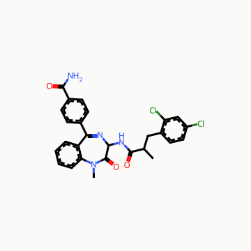 CC(Cc1ccc(Cl)cc1Cl)C(=O)NC1N=C(c2ccc(C(N)=O)cc2)c2ccccc2N(C)C1=O